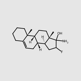 C[C@]12CCCCC1=CC[C@@H]1[C@H]2CC[C@@]2(C)[C@H]1CC(F)C2(N)O